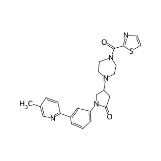 Cc1ccc(-c2cccc(N3CC(N4CCN(C(=O)c5nccs5)CC4)CC3=O)c2)nc1